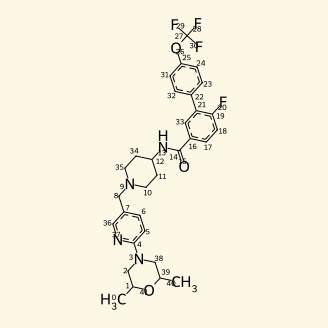 CC1CN(c2ccc(CN3CCC(NC(=O)c4ccc(F)c(-c5ccc(OC(F)(F)F)cc5)c4)CC3)cn2)CC(C)O1